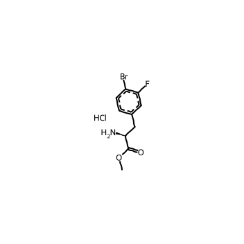 COC(=O)[C@@H](N)Cc1ccc(Br)c(F)c1.Cl